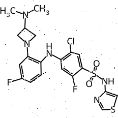 CN(C)C1CN(c2cc(F)ccc2Nc2cc(F)c(S(=O)(=O)Nc3cscn3)cc2Cl)C1